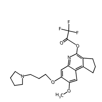 COc1cc2c3c(c(OC(=O)C(F)(F)F)nc2cc1OCCCN1CCCC1)CCC3